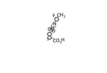 Cc1ccc(N2CCN(S(=O)(=O)c3ccc4scc(CC(=O)O)c4c3)CC2)cc1F